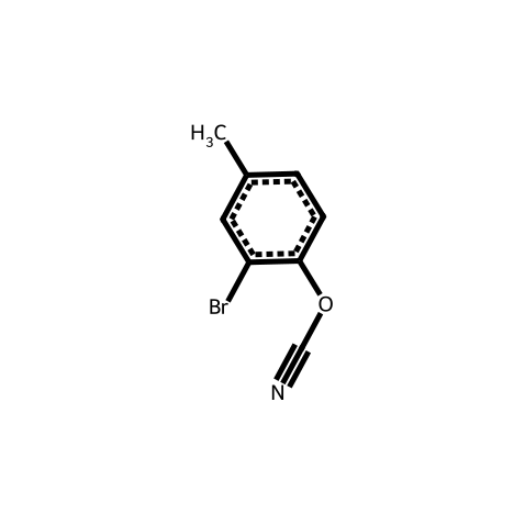 Cc1ccc(OC#N)c(Br)c1